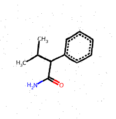 CC(C)C(C(N)=O)c1c[c]ccc1